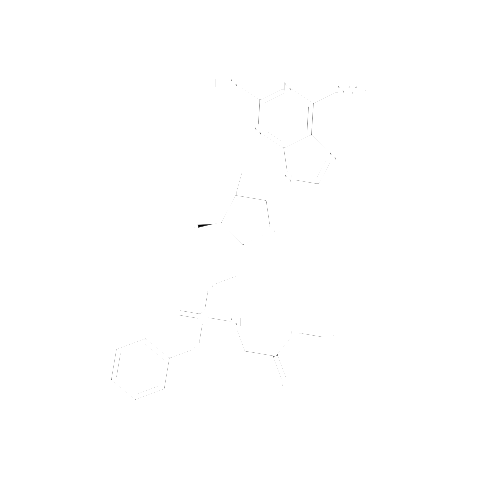 CNc1nc(N)nc2c1ncn2[C@@H]1O[C@H](COP(=O)(N[C@@H](C)C(=O)OC(C)C)Oc2ccccc2)[C@@H](O)[C@@]1(C)O